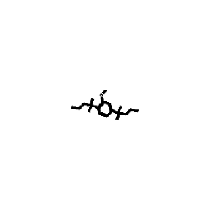 CCCC(C)(C)c1[c]cc(C(C)(C)CCC)c(OC)c1